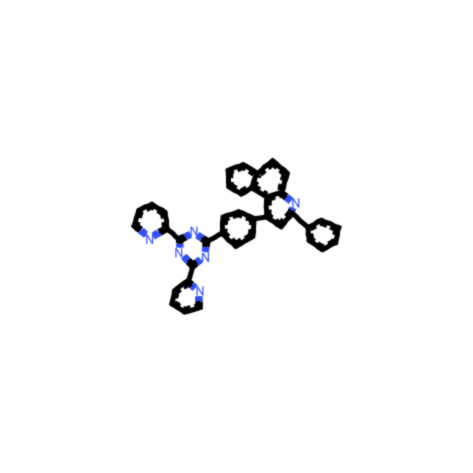 c1ccc(-c2cc(-c3ccc(-c4nc(-c5ccccn5)nc(-c5ccccn5)n4)cc3)c3c(ccc4ccccc43)n2)cc1